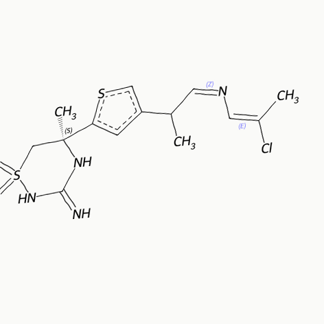 C/C(Cl)=C\N=C/C(C)c1csc([C@]2(C)CS(=O)(=O)NC(=N)N2)c1